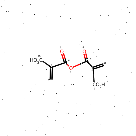 C=C(C(=O)O)C(=O)OC(=O)C(=C)C(=O)O